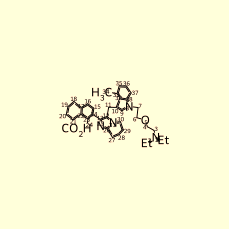 CCN(CC)CCOCCn1cc(Cc2c(-c3ccc4ccccc4c3C(=O)O)nc3ccccn23)c2c(C)cccc21